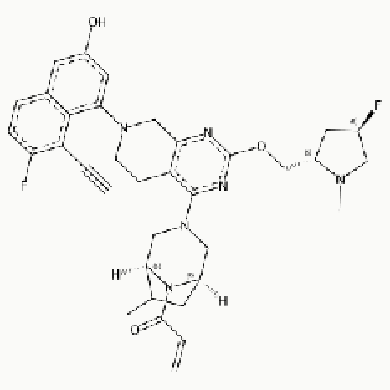 C#Cc1c(F)ccc2cc(O)cc(N3CCc4c(nc(OC[C@@H]5C[C@@H](F)CN5C)nc4N4C[C@H]5CC(C)[C@@H](C4)N5C(=O)C=C)C3)c12